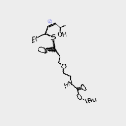 CCC(/C=C\C(C)O)SC(=O)CCOCCNC(=O)OC(C)(C)C